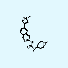 CN1CCC(N(C)C(=O)Nc2cc3cc(-c4cnn(C)c4)ccc3nn2)CC1